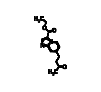 CCOC(=O)c1cnc2cc(CCC(C)=O)ccn12